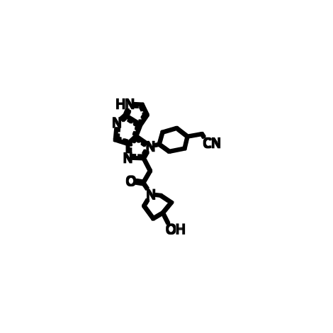 N#CCC1CCC(n2c(CC(=O)N3CCC(O)CC3)nc3cnc4[nH]ccc4c32)CC1